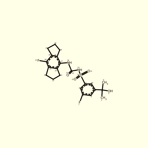 CC(C)(O)c1cc(F)cc(S(=O)(=O)NC(=O)Nc2c3c(c(F)c4c2CCC4)CCC3)c1